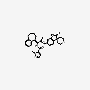 Cn1nccc1C(=O)N/C(C(=O)Nc1ccc2c(c1)NC(=O)C21CCOCC1)=C1/CCCCc2ccccc21